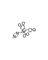 COC(=O)c1c(-c2ccc(OC)cc2)c2cc(OC)c(OC)cc2n1CCN1CCN(C)CC1